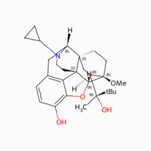 CO[C@]12CC[C@@]3(C[C@@H]1[C@@](C)(O)C(C)(C)C)[C@H]1Cc4ccc(O)c5c4[C@@]3(CCN1C1CC1)[C@H]2O5